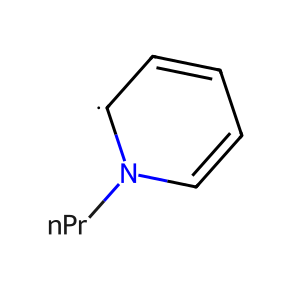 CCCN1[CH]C=CC=C1